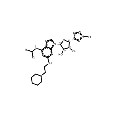 CCC(CC)Nc1nc(NCCN2CCCCC2)nc2c1ncn2[C@@H]1O[C@H](c2nnn(C(C)C)n2)[C@@H](O)[C@H]1O